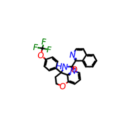 O=C(NC1(c2ccc(OC(F)(F)F)cc2)CCOc2cccnc21)c1nccc2ccccc12